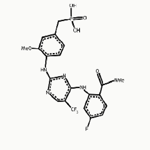 CNC(=O)c1ccc(F)cc1Nc1nc(Nc2ccc(CP(=O)(O)O)cc2OC)ncc1C(F)(F)F